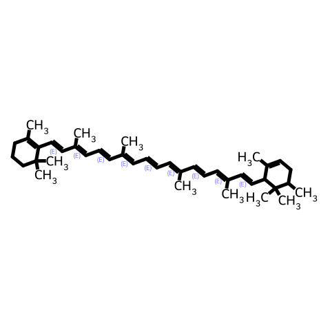 CC1=CCC(C)C(C)(C)C1/C=C/C(C)=C/C=C/C(C)=C/C=C/C=C(C)/C=C/C=C(C)/C=C/C1=C(C)CCCC1(C)C